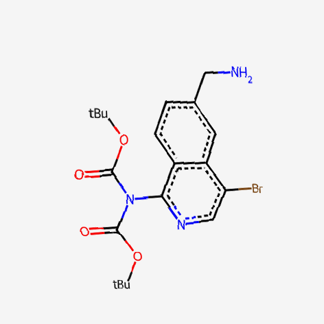 CC(C)(C)OC(=O)N(C(=O)OC(C)(C)C)c1ncc(Br)c2cc(CN)ccc12